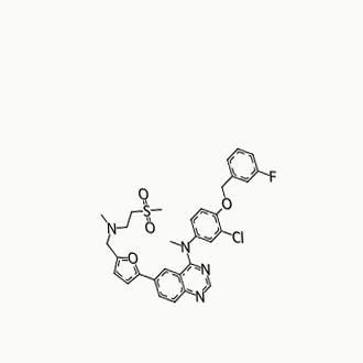 CN(CCS(C)(=O)=O)Cc1ccc(-c2ccc3ncnc(N(C)c4ccc(OCc5cccc(F)c5)c(Cl)c4)c3c2)o1